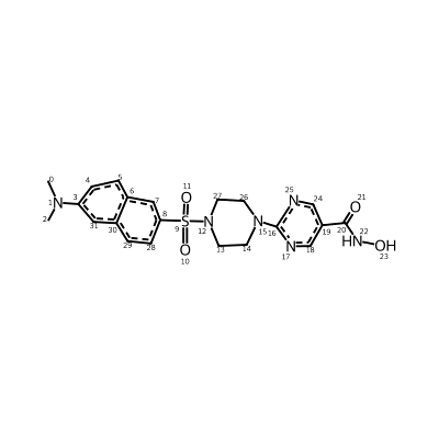 CN(C)c1ccc2cc(S(=O)(=O)N3CCN(c4ncc(C(=O)NO)cn4)CC3)ccc2c1